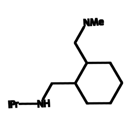 CNCC1CCCCC1CNC(C)C